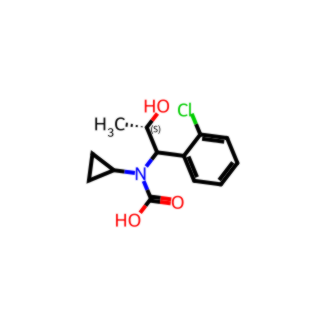 C[C@H](O)C(c1ccccc1Cl)N(C(=O)O)C1CC1